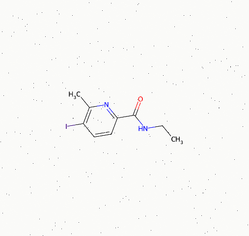 CCNC(=O)c1ccc(I)c(C)n1